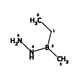 CCB(C)NN